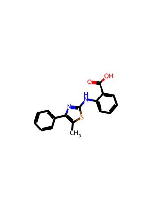 Cc1sc(Nc2ccccc2C(=O)O)nc1-c1ccccc1